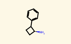 N[C@H]1CCC1c1ccccc1